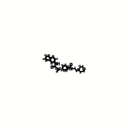 O=C(NCCN1CCOCC1)c1ccc([C@@H]2C[C@H]2C(=O)Nc2ccc3ccccc3c2)cc1